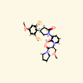 COCC(C(=O)N1CCCC1)n1cccc(N2C[C@@H](c3c(P)cc(OC)cc3P)CC2=O)c1=O